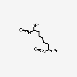 CCCC(CCCCCC(CCC)N=C=O)N=C=O